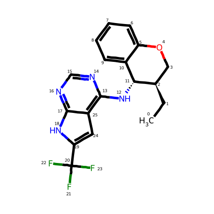 CC[C@@H]1COc2ccccc2[C@H]1Nc1ncnc2[nH]c(C(F)(F)F)cc12